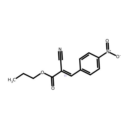 CCCOC(=O)/C(C#N)=C/c1ccc([N+](=O)[O-])cc1